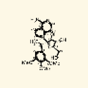 COc1cc(C(C)[C@@]2(n3cnc4c(N)ncnc43)O[C@H](CO)[C@@H](O)[C@H]2O)cc(OC)c1OC